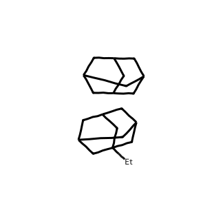 C1C2CC3CC1CC(C2)C3.CCC12CC3CC(CC(C3)C1)C2